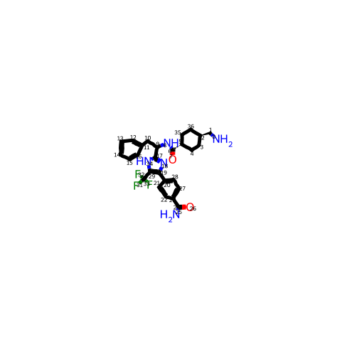 NC[C@H]1CC[C@H](C(=O)NC(Cc2ccccc2)c2nc(-c3ccc(C(N)=O)cc3)c(C(F)(F)F)[nH]2)CC1